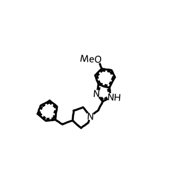 COc1ccc2[nH]c(CN3CCC(Cc4ccccc4)CC3)nc2c1